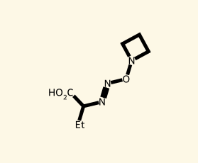 CCC(N=NON1CCC1)C(=O)O